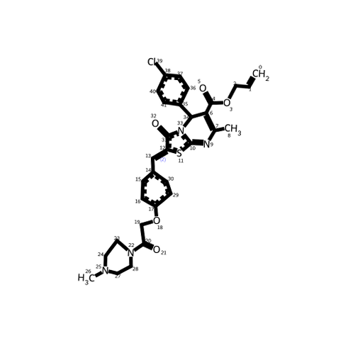 C=CCOC(=O)C1=C(C)N=c2s/c(=C\c3ccc(OCC(=O)N4CCN(C)CC4)cc3)c(=O)n2C1c1ccc(Cl)cc1